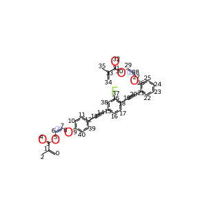 C=C(C)C(=O)O/C=C\Oc1ccc(C#Cc2ccc(C#Cc3ccccc3O/C=C\OC(=O)C(=C)C)c(F)c2)cc1